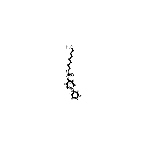 CCCCCCCCOC(=O)/N=c1\ccn(-c2ccccc2)nc1